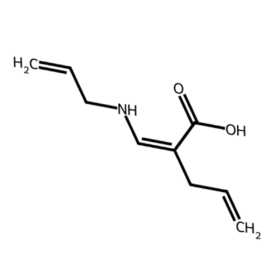 C=CCNC=C(CC=C)C(=O)O